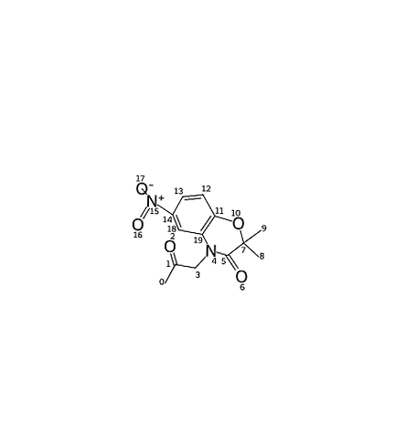 CC(=O)CN1C(=O)C(C)(C)Oc2ccc([N+](=O)[O-])cc21